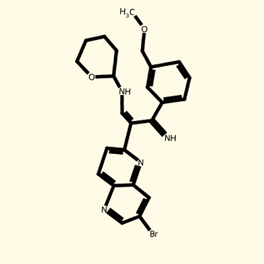 COCc1cccc(C(=N)/C(=C\NC2CCCCO2)c2ccc3ncc(Br)cc3n2)c1